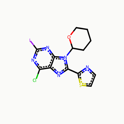 Clc1nc(I)nc2c1nc(-c1nccs1)n2C1CCCCO1